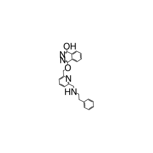 Oc1nnc(OCc2cccc(CNCCc3ccccc3)n2)c2ccccc12